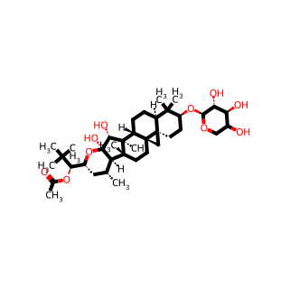 CC(=O)O[C@@H]([C@H]1C[C@@H](C)[C@H]2[C@@](O)(O1)[C@H](O)[C@@]1(C)[C@@H]3CC[C@H]4C(C)(C)[C@@H](O[C@@H]5OCC(O)[C@H](O)[C@H]5O)CC[C@@]45C[C@@]35CC[C@]21C)C(C)(C)C